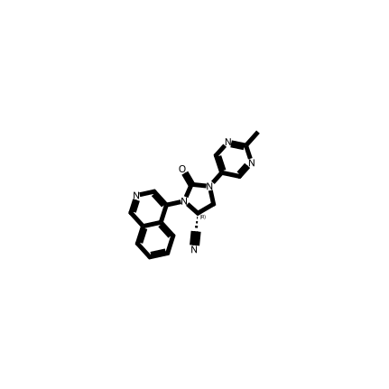 Cc1ncc(N2C[C@H](C#N)N(c3cncc4ccccc34)C2=O)cn1